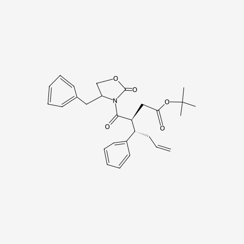 C=CC[C@H](c1ccccc1)[C@H](CC(=O)OC(C)(C)C)C(=O)N1C(=O)OCC1Cc1ccccc1